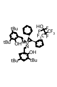 CC(C)(C)c1cc(C=[N][Mn]2([N]=Cc3cc(C(C)(C)C)cc(C(C)(C)C)c3O)[C@H](c3ccccc3)[C@H]2c2ccccc2)c(O)c(C(C)(C)C)c1.OC(F)(F)C(F)(C(F)(F)F)C(F)(F)F